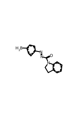 Bc1ccc(N=NC(=O)N2CCc3ccccc32)cc1